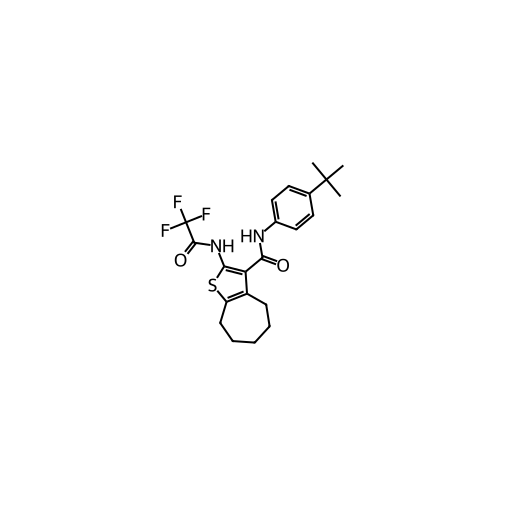 CC(C)(C)c1ccc(NC(=O)c2c(NC(=O)C(F)(F)F)sc3c2CCCCC3)cc1